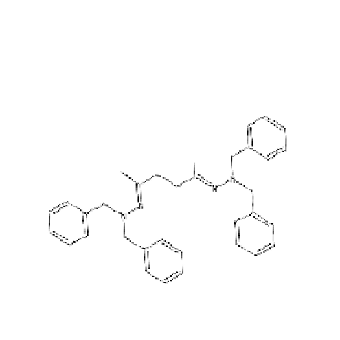 C/C(CC/C(C)=N/N(Cc1ccccc1)Cc1ccccc1)=N\N(Cc1ccccc1)Cc1ccccc1